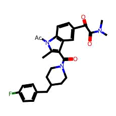 CC(=O)n1c(C)c(C(=O)N2CCC(Cc3ccc(F)cc3)CC2)c2cc(C(=O)C(=O)N(C)C)ccc21